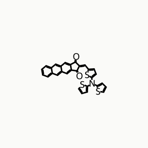 O=C1C(=Cc2ccc(N(c3cccs3)c3cccs3)s2)C(=O)c2cc3cc4ccccc4cc3cc21